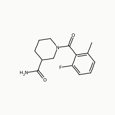 Cc1cccc(F)c1C(=O)N1CCCC(C(N)=O)C1